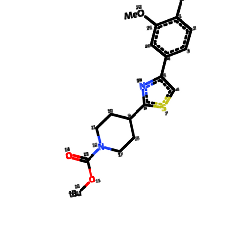 COc1ccc(-c2csc(C3CCN(C(=O)OC(C)(C)C)CC3)n2)cc1OC